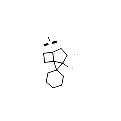 O=S(=O)(C(F)(F)F)[C@@]12CCC13C1(CCCCC1)C3(O)[C@@H](O)C2